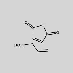 C=CCC(=O)OCC.O=C1C=CC(=O)O1